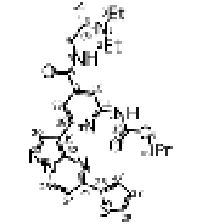 CCN(CC)[C@@H](C)CNC(=O)c1cc(NC(=O)OC(C)C)nc(-c2cnn3ccc(-c4cccs4)nc23)c1